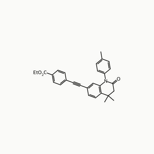 CCOC(=O)c1ccc(C#Cc2ccc3c(c2)N(c2ccc(C)cc2)C(=O)CC3(C)C)cc1